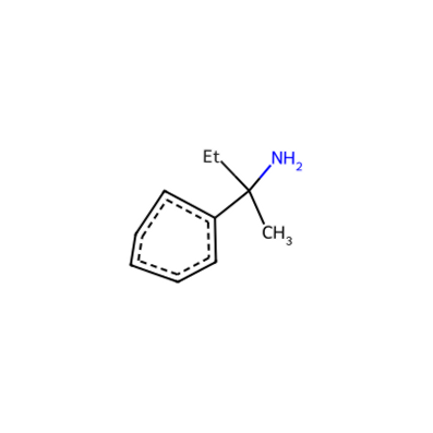 CCC(C)(N)c1ccccc1